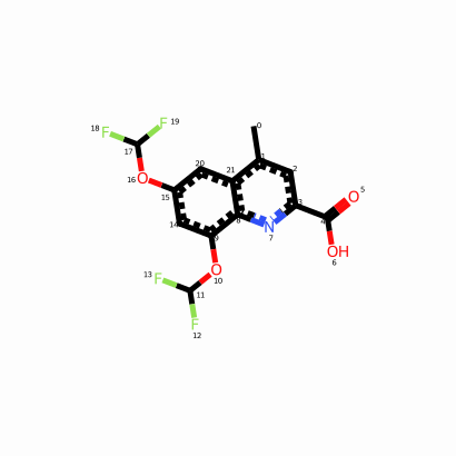 Cc1cc(C(=O)O)nc2c(OC(F)F)cc(OC(F)F)cc12